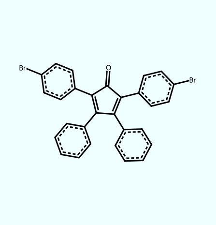 O=C1C(c2ccc(Br)cc2)=C(c2ccccc2)C(c2ccccc2)=C1c1ccc(Br)cc1